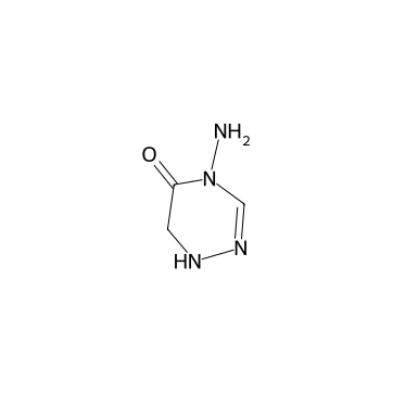 NN1C=NNCC1=O